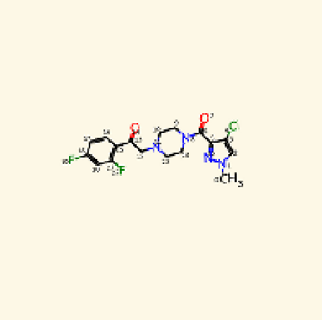 Cn1cc(Cl)c(C(=O)N2CCN(CC(=O)c3ccc(F)cc3F)CC2)n1